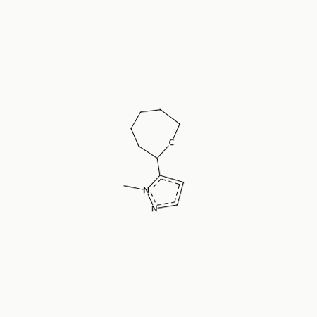 Cn1nccc1C1CCCCCC1